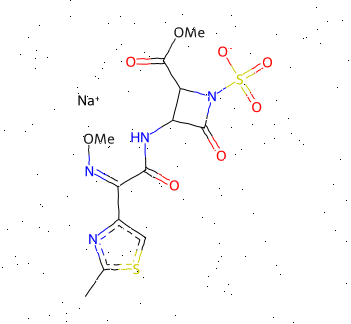 CON=C(C(=O)NC1C(=O)N(S(=O)(=O)[O-])C1C(=O)OC)c1csc(C)n1.[Na+]